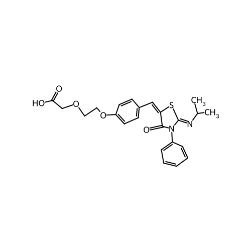 CC(C)N=C1SC(=Cc2ccc(OCCOCC(=O)O)cc2)C(=O)N1c1ccccc1